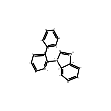 c1ccc(-c2cccnc2-n2cnc3ccccc32)cc1